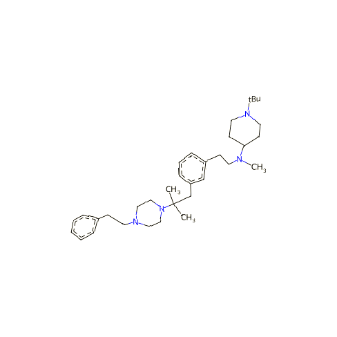 CN(CCc1cccc(CC(C)(C)N2CCN(CCc3ccccc3)CC2)c1)C1CCN(C(C)(C)C)CC1